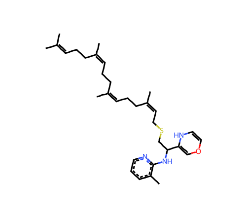 CC(C)=CCCC(C)=CCCC(C)=CCCC(C)=CCSCC(Nc1ncccc1C)C1=COC=CN1